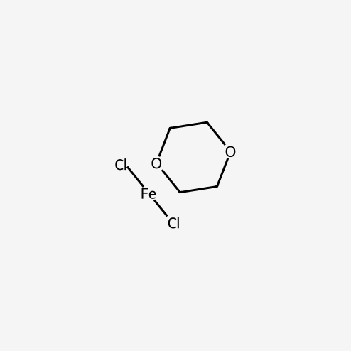 C1COCCO1.[Cl][Fe][Cl]